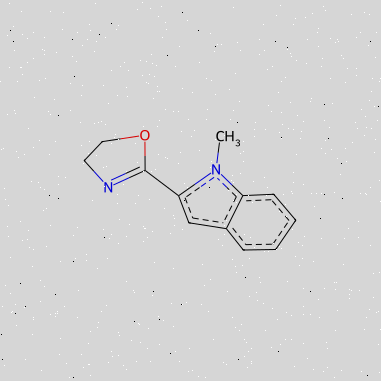 Cn1c(C2=NCCO2)cc2ccccc21